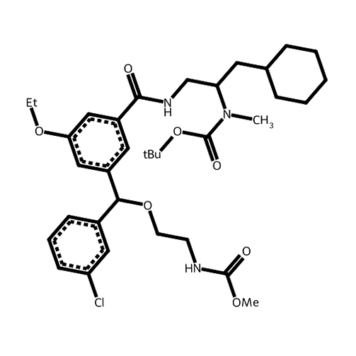 CCOc1cc(C(=O)NCC(CC2CCCCC2)N(C)C(=O)OC(C)(C)C)cc(C(OCCNC(=O)OC)c2cccc(Cl)c2)c1